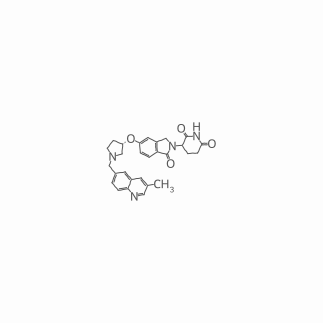 Cc1cnc2ccc(CN3CC[C@H](Oc4ccc5c(c4)CN(C4CCC(=O)NC4=O)C5=O)C3)cc2c1